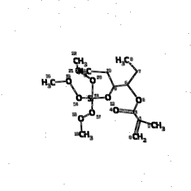 C=C(C)C(=O)OC(CC)C(CC)O[Si](OOC)(OOC)OOC